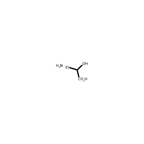 CCC(O)C(=O)O.[BiH3]